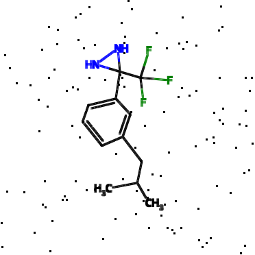 CC(C)Cc1cccc(C2(C(F)(F)F)NN2)c1